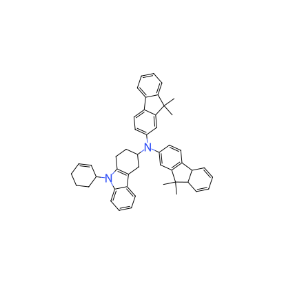 CC1(C)c2ccccc2-c2ccc(N(c3ccc4c(c3)C(C)(C)C3C=CC=CC43)C3CCc4c(c5ccccc5n4C4C=CCCC4)C3)cc21